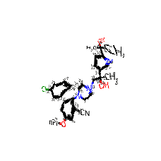 CCCOc1ccc(N2CCN(C[C@@](C)(O)c3ccc(C(C)(C)O)nc3)C[C@H]2c2ccc(Cl)cc2)c(C#N)c1